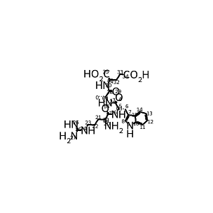 C[C@@H](NC(=O)[C@H](Cc1c[nH]c2ccccc12)NC(=O)[C@@H](N)CCCNC(=N)N)C(=O)N[C@H](CCC(=O)O)C(=O)O